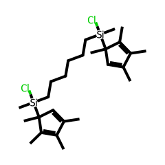 CC1=CC(C)([Si](C)(Cl)CCCCCC[Si](C)(Cl)C2(C)C=C(C)C(C)=C2C)C(C)=C1C